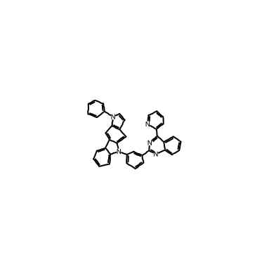 c1ccc(-n2ccc3cc4c(cc32)c2ccccc2n4-c2cccc(-c3nc(-c4ccccn4)c4ccccc4n3)c2)cc1